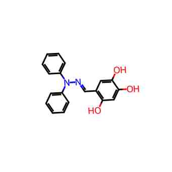 Oc1cc(O)c(/C=N/N(c2ccccc2)c2ccccc2)cc1O